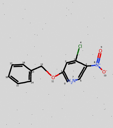 C=C(/C=C(Cl)\C(=C/N)[N+](=O)[O-])OCc1ccccc1